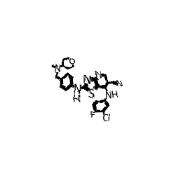 CN(Cc1ccc(Nc2nc3ncc(C#N)c(Nc4ccc(F)c(Cl)c4)c3s2)cc1)C1CCOCC1